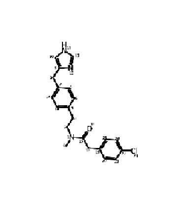 CN(CCc1ccc(Cc2c[nH]cn2)cc1)C(=O)Cc1ccc(Cl)cc1